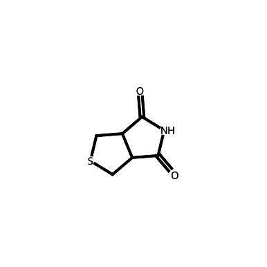 O=C1NC(=O)C2CSCC12